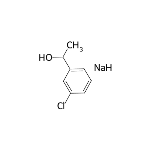 CC(O)c1cccc(Cl)c1.[NaH]